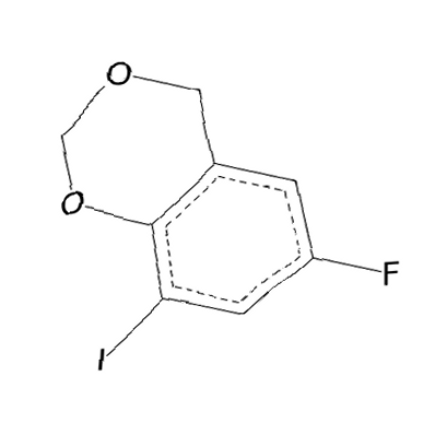 Fc1cc(I)c2c(c1)COCO2